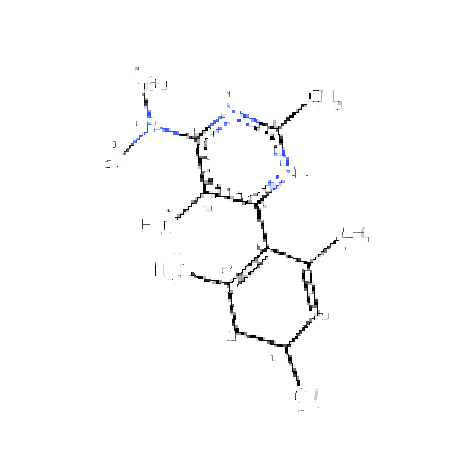 CCCCN(CC)c1nc(C)nc(C2=C(C)[CH]C(C)C=C2C)c1C